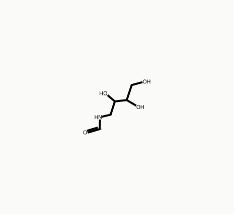 O=[C]NCC(O)C(O)CO